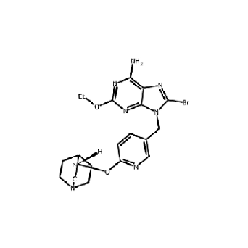 CCOc1nc(N)c2nc(Br)n(Cc3ccc(O[C@@H]4CN5CCC4CC5)nc3)c2n1